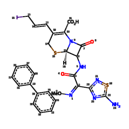 CO/N=C(\C(=O)NC1C(=O)N2C(C(=O)O)=C(/C=C/CI)CS[C@H]12)c1nsc(N)n1.c1ccc(-c2ccccc2)cc1